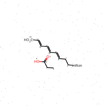 CCC(=O)O.CCCCCCCCCCC/C=C/C=C/C=C/C(=O)O